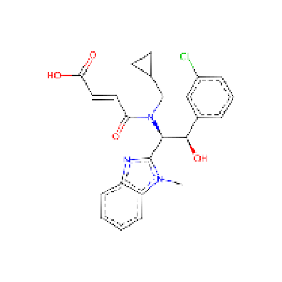 Cn1c([C@H]([C@H](O)c2cccc(Cl)c2)N(CC2CC2)C(=O)/C=C/C(=O)O)nc2ccccc21